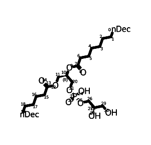 CCCCCCCCCCCCCCCCC(=O)O[C@H](COC(=O)CCCCCCCCCCCCCC)COP(=O)(O)OC[C@@H](O)CO